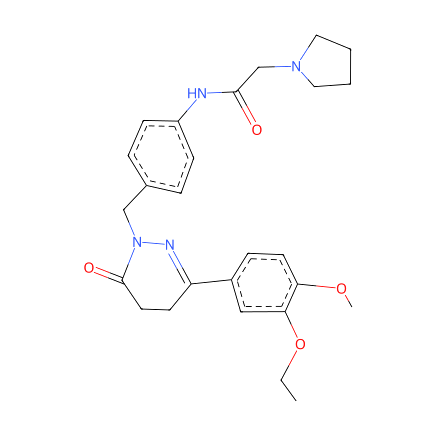 CCOc1cc(C2=NN(Cc3ccc(NC(=O)CN4CCCC4)cc3)C(=O)CC2)ccc1OC